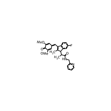 COC1=CC(=CC2=C(C)C(C(C)C(=O)NCc3ccccn3)c3cc(F)ccc32)C=C(OC)C1=O